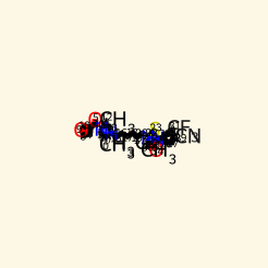 C[C@@H]1CN(C(=O)c2ccoc2)[C@@H](C)CN1CCCCCCN1C(=S)N(c2ccc(C#N)c(C(F)(F)F)c2)C(=O)C1(C)C